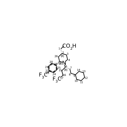 O=C(O)C[C@@H]1CCN([C@H](CCC2CCCCC2)CCC(F)(F)F)[C@H](c2ccc(C(F)(F)F)cc2)C1